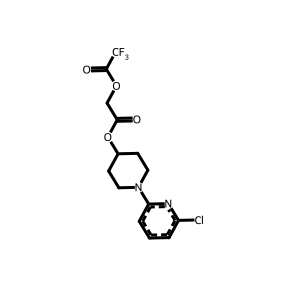 O=C(COC(=O)C(F)(F)F)OC1CCN(c2cccc(Cl)n2)CC1